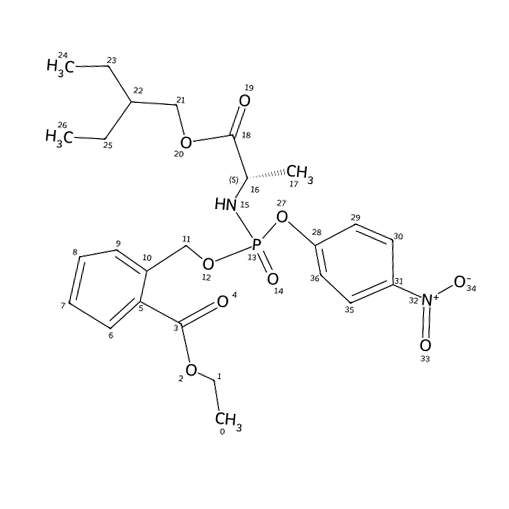 CCOC(=O)c1ccccc1COP(=O)(N[C@@H](C)C(=O)OCC(CC)CC)Oc1ccc([N+](=O)[O-])cc1